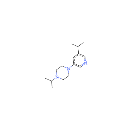 CC(C)c1cncc(N2CCN(C(C)C)CC2)c1